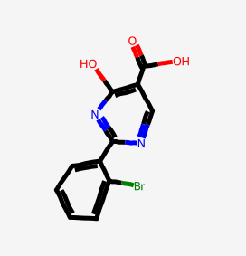 O=C(O)c1cnc(-c2ccccc2Br)nc1O